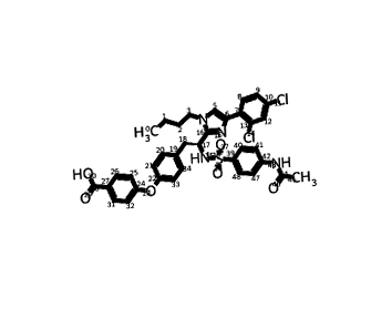 CCCCn1cc(-c2ccc(Cl)cc2Cl)nc1[C@H](Cc1ccc(Oc2ccc(C(=O)O)cc2)cc1)NS(=O)(=O)c1ccc(NC(C)=O)cc1